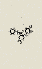 O=S1(=O)CCC2(CC1)Nc1cc(Cl)c(Cl)cc1N=C2NCc1ccccc1